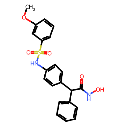 COc1cccc(S(=O)(=O)Nc2ccc(C(C(=O)NO)c3ccccc3)cc2)c1